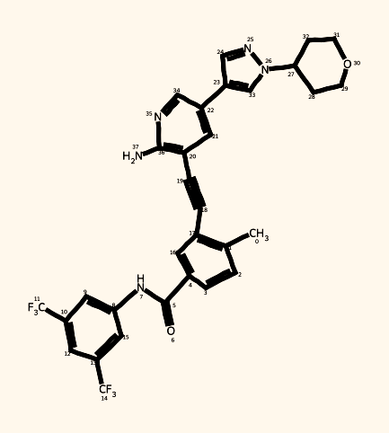 Cc1ccc(C(=O)Nc2cc(C(F)(F)F)cc(C(F)(F)F)c2)cc1C#Cc1cc(-c2cnn(C3CCOCC3)c2)cnc1N